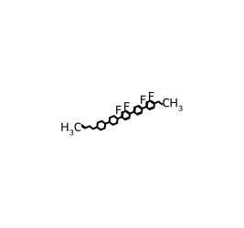 C/C=C/CCC1CCC(C2CCC(c3ccc(-c4ccc(-c5ccc(CCC)c(F)c5F)cc4)c(F)c3F)CC2)CC1